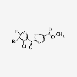 COC(=O)c1ccc(C(=O)c2ccc(F)c(Br)c2Cl)cc1